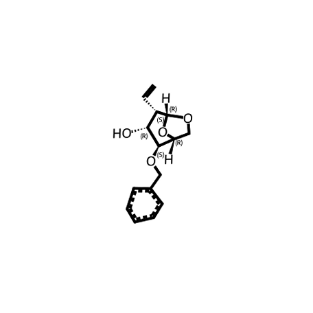 C=C[C@@H]1[C@@H]2OC[C@@H](O2)[C@@H](OCc2ccccc2)[C@@H]1O